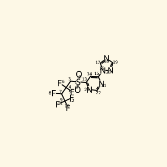 O=S(=O)(CC(F)(F)C(F)C(F)(F)F)c1cc(-n2cncn2)ncn1